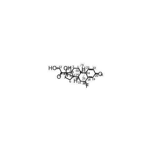 C[C@H]1C[C@@]2(C)[C@@H](CC[C@]2(O)C(=O)CO)[C@@H]2C[C@H](F)C3=CC(=O)C=C[C@]3(C)[C@@H]21